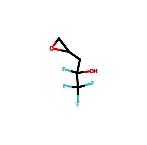 OC(F)(CC1CO1)C(F)(F)F